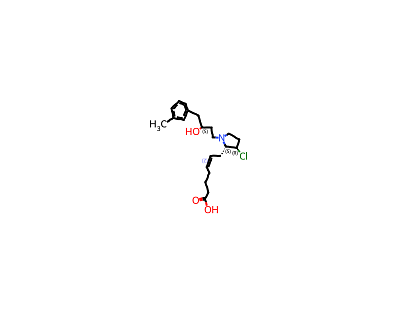 Cc1cccc(C[C@H](O)CCN2CC[C@@H](Cl)[C@@H]2C/C=C\CCCC(=O)O)c1